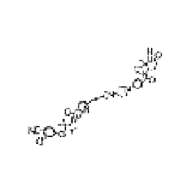 CC1(C)[C@H](Oc2ccc(C#N)c(Cl)c2)C(C)(C)[C@H]1N1Cc2nc(C#CC3CN(C4CCN(c5ccc6c(c5)C(=O)N(C5CCC(=O)NC5=O)C6=O)CC4)C3)ccc2C1=O